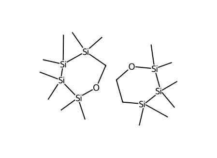 C[Si]1(C)CCO[Si](C)(C)[Si]1(C)C.C[Si]1(C)CO[Si](C)(C)[Si](C)(C)[Si]1(C)C